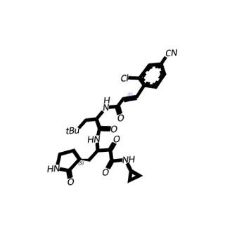 CC(C)(C)CC(NC(=O)/C=C/c1ccc(C#N)cc1Cl)C(=O)NC(C[C@@H]1CCNC1=O)C(=O)C(=O)NC1CC1